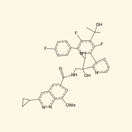 COc1cc(C(=O)NCC(O)(c2ncccc2-c2nc(-c3ccc(F)cc3)c(F)c(C(C)(C)O)c2F)C2CC2)cc2cc(C3CC3)nnc12